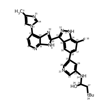 Cc1cn(-c2ccnc3[nH]c(-c4n[nH]c5c(F)cc(-c6cncc(NC(O)CC(C)(C)C)c6)cc45)nc23)cn1